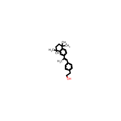 CC(=Cc1ccc(CCO)cc1)c1ccc2c(c1)C(C)(C)CCC2(C)C